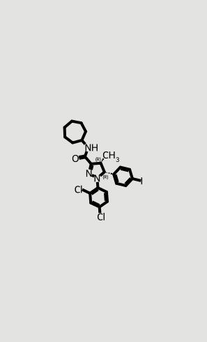 C[C@H]1C(C(=O)NC2CCCCCC2)=NN(c2ccc(Cl)cc2Cl)[C@H]1c1ccc(I)cc1